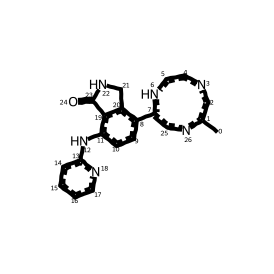 Cc1cncc[nH]c(-c2ccc(Nc3ccccn3)c3c2CNC3=O)cn1